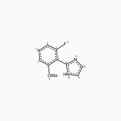 COc1cncc(F)c1-c1ncc[nH]1